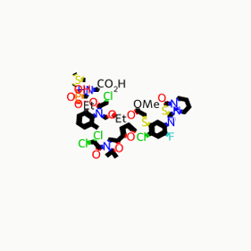 CC1(C)OC(c2ccco2)CN1C(=O)C(Cl)Cl.CCOCN(C(=O)CCl)c1c(C)cccc1CC.COC(=O)CSc1cc(/N=c2\sc(=O)n3n2CCCC3)c(F)cc1Cl.C[S+](C)C.O=C(O)CNCP(=O)([O-])O